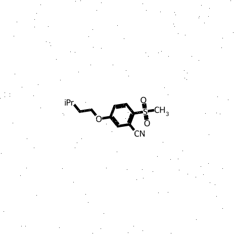 CC(C)CCOc1ccc(S(C)(=O)=O)c(C#N)c1